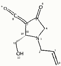 C=CCN1CC(=O)C(=C=O)[C@H]1CO